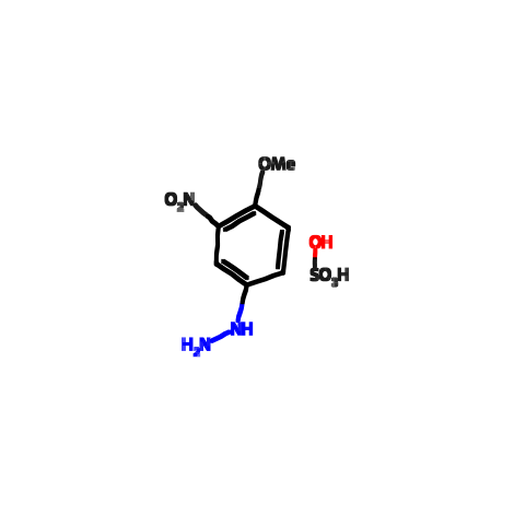 COc1ccc(NN)cc1[N+](=O)[O-].O=S(=O)(O)O